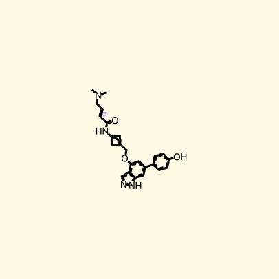 CN(C)C/C=C/C(=O)NC12CC(COc3cc(-c4ccc(O)cc4)cc4[nH]ncc34)(C1)C2